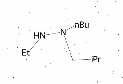 [CH2]CNN(CCCC)CC(C)C